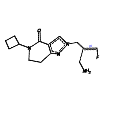 NC/C(=C\F)Cn1cc2c(n1)CCN(C1CCC1)C2=O